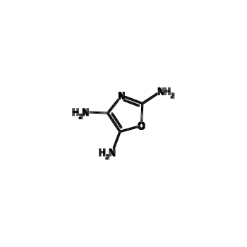 Nc1nc(N)c(N)o1